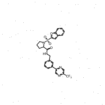 O=C(NCc1cccc(-c2cnc(C(F)(F)F)cn2)c1)C1CCCN1S(=O)(=O)c1cc2ccccc2o1